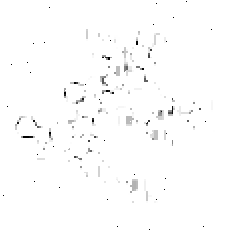 CC[C@H](NC(=O)[C@H](CCCNC(=N)N)NC(C)=O)C(=O)N[C@H](C(=O)N[C@H](Cc1ccccc1)C(=O)N[C@@H](CCCNC(=N)N)C(=O)N[C@@H](Cc1c[nH]c2ccccc12)C(=O)N[C@@H](CCCCNC=O)C(N)=O)[C@@H](C)O